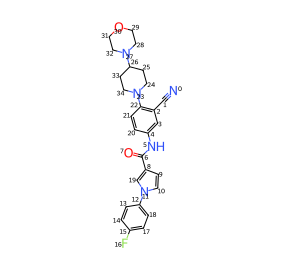 N#Cc1cc(NC(=O)c2ccn(-c3ccc(F)cc3)c2)ccc1N1CCC(N2CCOCC2)CC1